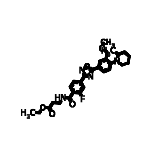 CCOC(=O)CCNC(=O)c1ccc(-c2noc(-c3ccc(N4CCCCC4C)c(COC)c3)n2)cc1F